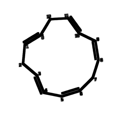 [C]1=C/C/C=C/C=C\C/C=C\C=C\C/1